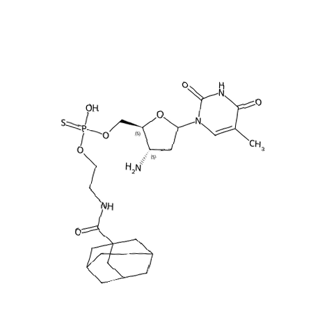 Cc1cn(C2C[C@H](N)[C@@H](COP(O)(=S)OCCNC(=O)C34CC5CC(CC(C5)C3)C4)O2)c(=O)[nH]c1=O